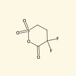 O=C1OS(=O)(=O)CCC1(F)F